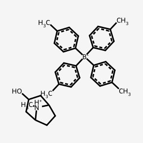 C[NH+]1C2CCC1CC(O)C2.Cc1ccc([B-](c2ccc(C)cc2)(c2ccc(C)cc2)c2ccc(C)cc2)cc1